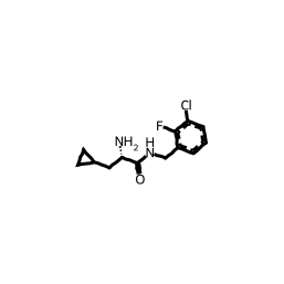 N[C@@H](CC1CC1)C(=O)NCc1cccc(Cl)c1F